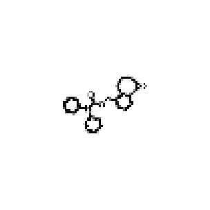 O=C(OCc1cccc2c1CCCC1OC21)N(c1ccccc1)c1ccccc1